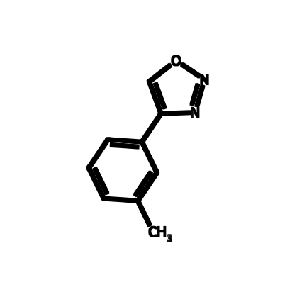 Cc1cccc(-c2conn2)c1